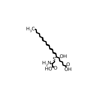 CCCCCC=CCC=CC=CC=C[C@H](SC[C@H](N)C(=O)O)[C@H](O)CCCC(=O)O